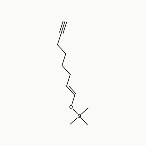 C#CCCCCC=CO[Si](C)(C)C